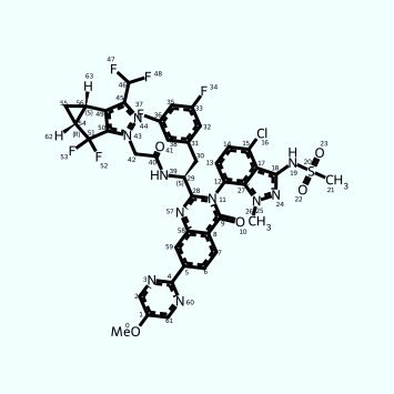 COc1cnc(-c2ccc3c(=O)n(-c4ccc(Cl)c5c(NS(C)(=O)=O)nn(C)c45)c([C@H](Cc4cc(F)cc(F)c4)NC(=O)Cn4nc(C(F)F)c5c4C(F)(F)[C@@H]4C[C@H]54)nc3c2)nc1